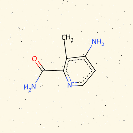 Cc1c(N)ccnc1C(N)=O